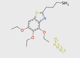 CCOc1cc2sc(CCC[SiH3])nc2c(OCC)c1OCC.S.S.S.S